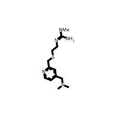 CNC(N)=NCCSCc1cc(CN(C)C)ccn1